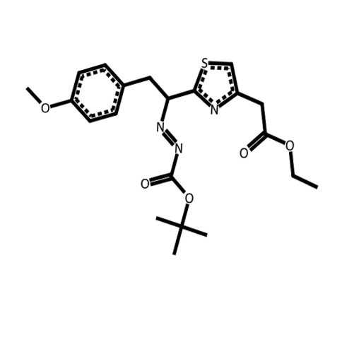 CCOC(=O)Cc1csc(C(Cc2ccc(OC)cc2)N=NC(=O)OC(C)(C)C)n1